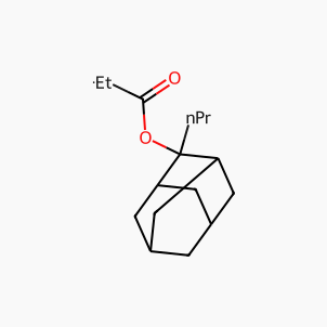 C[CH]C(=O)OC1(CCC)C2CC3CC(C2)CC1C3